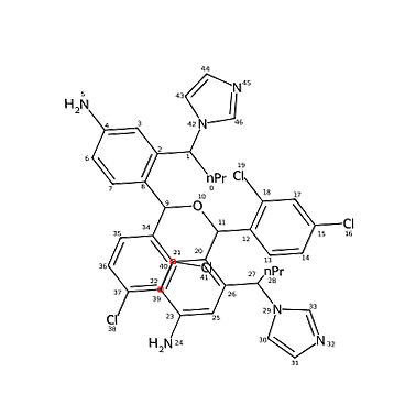 CCCC(c1cc(N)ccc1C(OC(c1ccc(Cl)cc1Cl)c1ccc(N)cc1C(CCC)n1ccnc1)c1ccc(Cl)cc1Cl)n1ccnc1